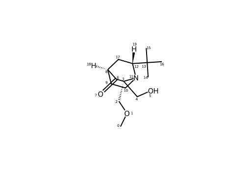 COC[C@]1(CO)C(=O)[C@H]2CCN1[C@@H](C(C)(C)C)C2